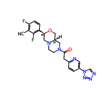 N#Cc1c(F)ccc([C@@H]2CN3CCN(C(=O)Cc4ccc(-n5cnnn5)cn4)C[C@H]3CO2)c1F